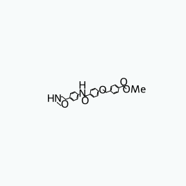 COC(=O)c1ccc(COc2ccc(C(=O)Nc3ccc(C4CNCCO4)cc3)cc2)cc1